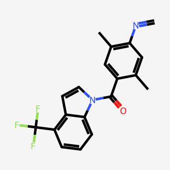 C=Nc1cc(C)c(C(=O)n2ccc3c(C(F)(F)F)cccc32)cc1C